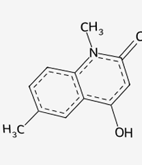 Cc1ccc2c(c1)c(O)cc(=O)n2C